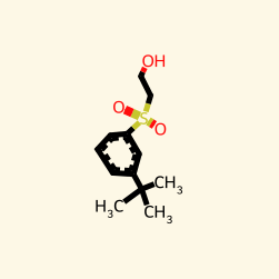 CC(C)(C)c1cccc(S(=O)(=O)CCO)c1